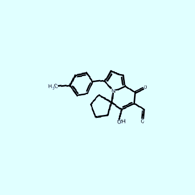 Cc1ccc(-c2ccc3n2C2(CCCC2)C(O)=C(C=O)C3=O)cc1